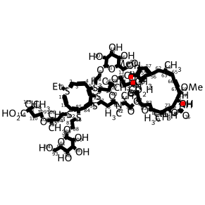 CCS1=C/C=C\C(SCCOC2OC(CO)C(O)C(O)C2O)=C(SCCC(C)(C)OCCC(C)(C)C(=O)O)/C(SCCC(=O)N(C)[C@H](C)C(=O)O[C@@]23CC(=O)N(C)c4cc(cc(OC)c4Cl)C/C(C)=C\C=C\[C@@H](OC)[C@]4(O)C[C@H](OC(=O)N4)[C@@H](C)[C@@](C)(C2)O3)=C\C(SCCOC2OC(CO)C(O)C(O)C2O)=C(SCCC(C)(C)OCCC(C)(C)C(=O)O)/C=C\1